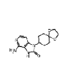 Nc1nccc2c1[nH]c(=O)n2C1CCC2(CC1)OCCO2